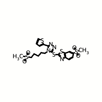 CS(=O)(=O)CCCCCn1c(Sc2nc3ccc(S(C)(=O)=O)cc3s2)nnc1-c1cccs1